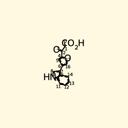 O=C(O)CC(=O)c1cc(-c2c[nH]c3ccccc23)co1